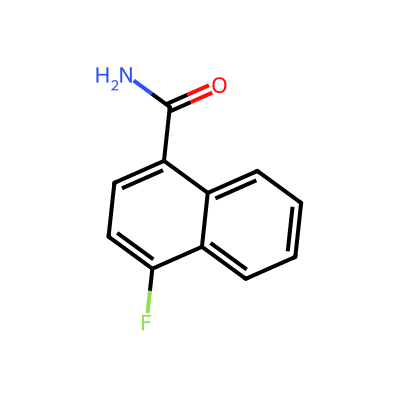 NC(=O)c1ccc(F)c2ccccc12